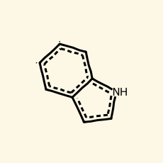 [c]1[c]cc2[nH]ccc2c1